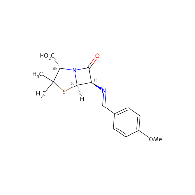 COc1ccc(C=N[C@@H]2C(=O)N3[C@@H]2SC(C)(C)[C@@H]3C(=O)O)cc1